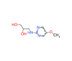 COc1cnc(NCC(O)CO)nc1